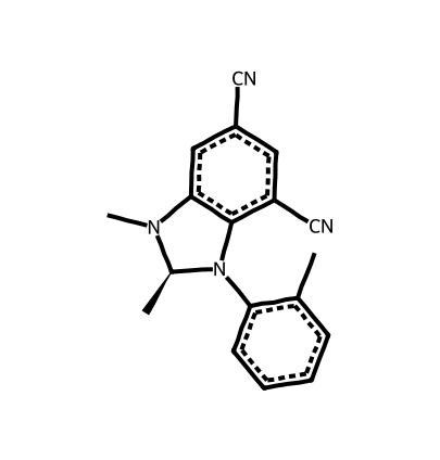 Cc1ccccc1N1c2c(C#N)cc(C#N)cc2N(C)[C@@H]1C